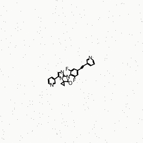 O=C1N(c2c(F)cc(C#Cc3cccnc3)cc2F)c2ncc(-c3cccnc3)n2C12CC2